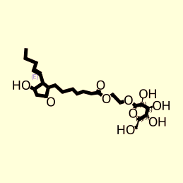 CCC/C=C/C1C(O)CC(=O)C1CCCCCCC(=O)OCCOC1O[C@H](CO)[C@@H](O)[C@H](O)[C@H]1O